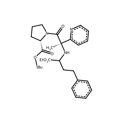 CCOC(=O)C(CCc1ccccc1)N[C@@](C)(C(=O)N1CCC[C@H]1C(=O)OC(C)(C)C)c1ccccn1